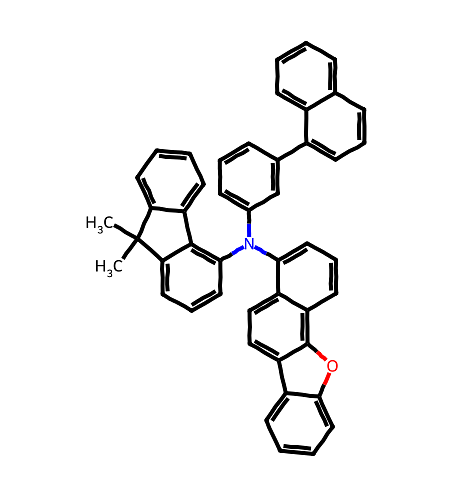 CC1(C)c2ccccc2-c2c(N(c3cccc(-c4cccc5ccccc45)c3)c3cccc4c3ccc3c5ccccc5oc43)cccc21